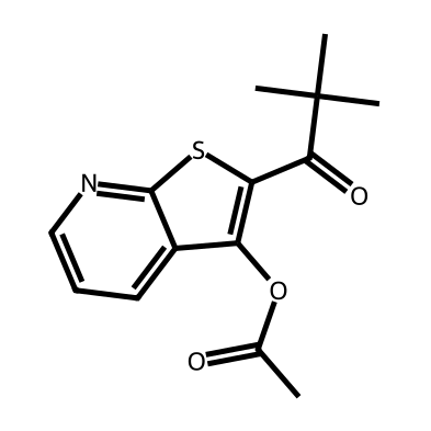 CC(=O)Oc1c(C(=O)C(C)(C)C)sc2ncccc12